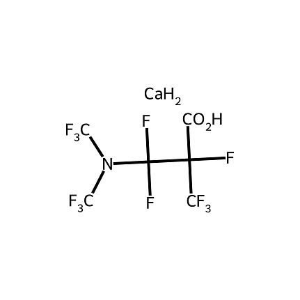 O=C(O)C(F)(C(F)(F)F)C(F)(F)N(C(F)(F)F)C(F)(F)F.[CaH2]